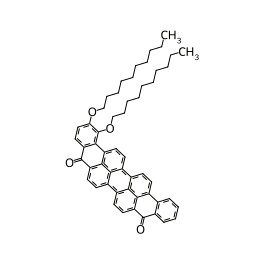 CCCCCCCCCCOc1ccc2c(c1OCCCCCCCCCC)-c1ccc3c4ccc5c6c(ccc(c7ccc(c1c73)C2=O)c64)C(=O)c1ccccc1-5